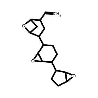 C=CC1CC(C2CCC(C3CCC4OC43)C3OC23)C2CC1O2